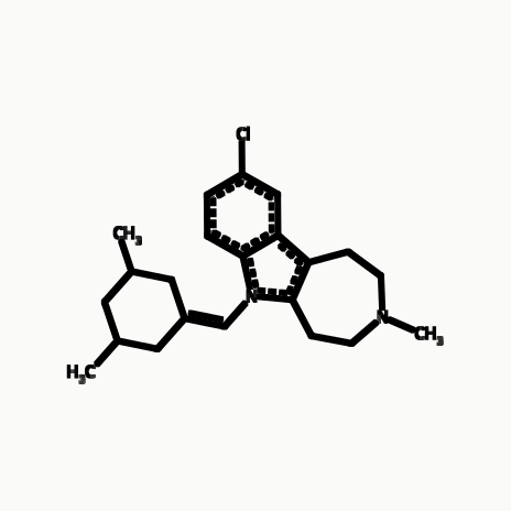 CC1CC(=Cn2c3c(c4cc(Cl)ccc42)CCN(C)CC3)CC(C)C1